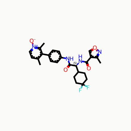 Cc1cc[n+]([O-])c(C)c1-c1ccc(NC(=O)[C@@H](NC(=O)c2conc2C)C2CCC(F)(F)CC2)cc1